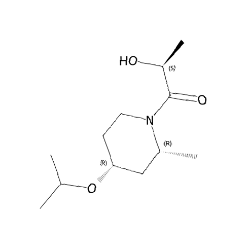 CC(C)O[C@@H]1CCN(C(=O)[C@H](C)O)[C@H](C)C1